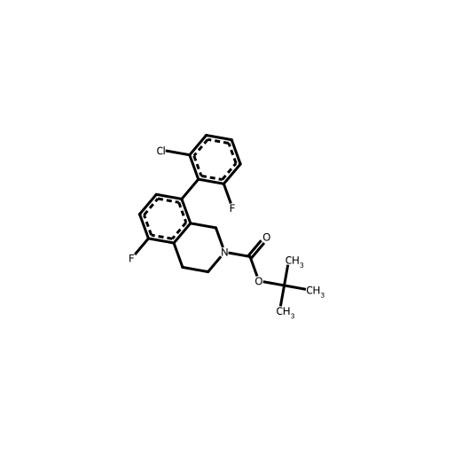 CC(C)(C)OC(=O)N1CCc2c(F)ccc(-c3c(F)cccc3Cl)c2C1